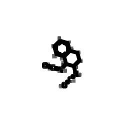 O=C=NC1CCc2ccccc2C1N=C=O